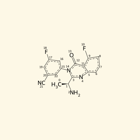 C[C@H](N)c1nc2cccc(F)c2c(=O)n1-c1cc(F)cc(C#N)c1